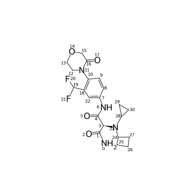 NC(=O)[C@@H](C(=O)Nc1ccc(N2CCOCC2=O)c(C(F)F)c1)N(C1CCC1)C1CC1